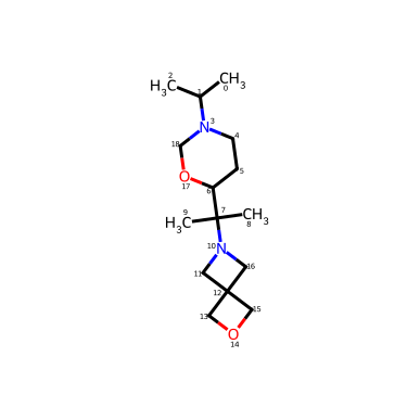 CC(C)N1CCC(C(C)(C)N2CC3(COC3)C2)OC1